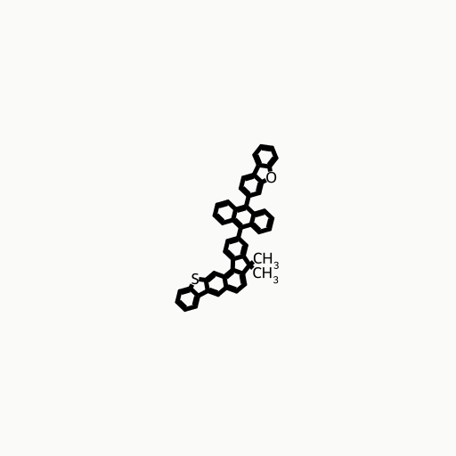 CC1(C)c2cc(-c3c4ccccc4c(-c4ccc5c(c4)oc4ccccc45)c4ccccc34)ccc2-c2c1ccc1cc3c(cc21)sc1ccccc13